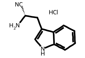 Cl.N#C[C@@H](N)Cc1c[nH]c2ccccc12